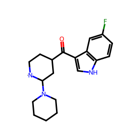 O=C(c1c[nH]c2ccc(F)cc12)C1CC[N]C(N2CCCCC2)C1